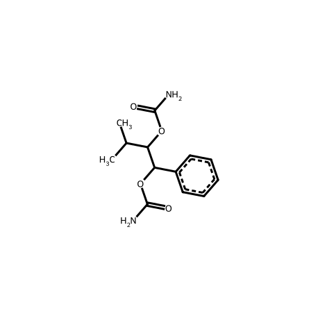 CC(C)C(OC(N)=O)C(OC(N)=O)c1ccccc1